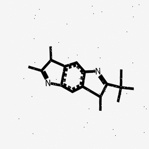 CC1=Nc2cc3c(cc2C1C)N=C(C(C)(C)C)C3C